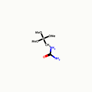 CO[Si](C)(OC)OC.NC(N)=O